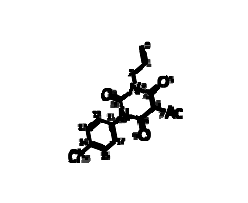 C=CCN1C(=O)C(C(C)=O)C(=O)N(c2ccc(Cl)cc2)C1=O